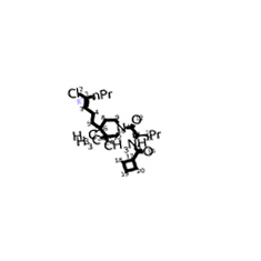 CCC/C(Cl)=C\CC[C@@]1(C)CCN(C(=O)[C@H](NC(=O)C2CCC2)C(C)C)CC1(C)C